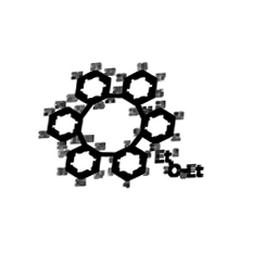 CCOCC.c1ccc2c(c1)-c1ccccc1-c1ccccc1-c1ccccc1-c1ccccc1-c1ccccc1-2